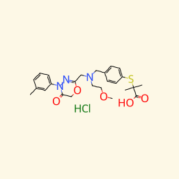 COCCN(CC1=NN(c2cccc(C)c2)C(=O)CO1)Cc1ccc(SC(C)(C)C(=O)O)cc1.Cl